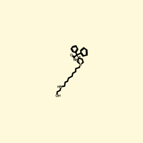 NC(=O)C(c1ccccc1)(c1ccccc1)[C@H]1CCN(CCCCCCCCCNCCO)C1